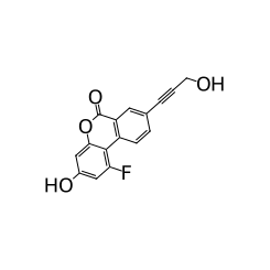 O=c1oc2cc(O)cc(F)c2c2ccc(C#CCO)cc12